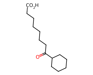 O=C(O)CCCCCCC(=O)C1CCCCC1